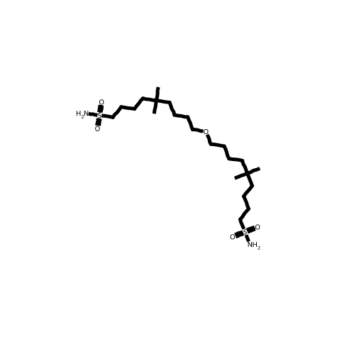 CC(C)(CCCCOCCCCC(C)(C)CCCCS(N)(=O)=O)CCCCS(N)(=O)=O